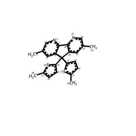 Cc1cnc2c(c1)C(c1ccc(C)s1)(c1ccc(C)s1)c1cc(C)cnc1-2